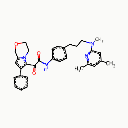 Cc1cc(C)nc(N(C)CCCc2ccc(NC(=O)C(=O)c3c(-c4ccccc4)cc4n3CCOC4)cc2)c1